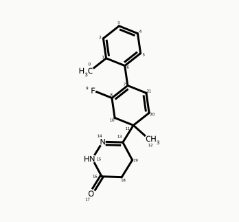 Cc1ccccc1C1=C(F)CC(C)(C2=NNC(=O)CC2)C=C1